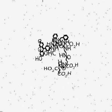 O=Cc1cc(NC(=S)NC(Cc2ccccc2)C(=O)NC(Cc2ccccc2)C(=O)N[C@@H](C(=O)O)C(=O)NCCNC(=O)CC[C@H](NC(=O)N[C@@H](CCC(=O)O)C(=O)O)C(=O)O)ccc1-c1c2ccc(=O)cc-2oc2cc(O)ccc12